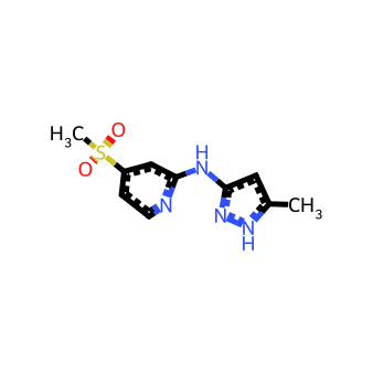 Cc1cc(Nc2cc(S(C)(=O)=O)ccn2)n[nH]1